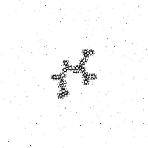 C1=C(c2ccc3c(c2)c2cc(-c4cccc5c4ccc4c5c5cc(-c6ccc7c(c6)c6cc8ccccc8cc6n7-c6ccccc6)ccc5n4-c4ccc5cc(-c6cc7c8c(cccc8c6)-c6ccccc6-7)ccc5c4)ccc2n3-c2ccccc2)C=C2c3cc4ccccc4cc3N(c3ccc4cc(-c5cc6c7c(cccc7c5)-c5ccccc5-6)ccc4c3)C2C1